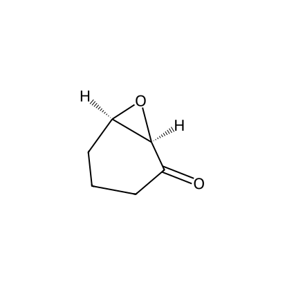 O=C1CCC[C@H]2O[C@@H]12